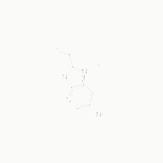 O=[N+]([O-])c1cnc2nc(C(F)F)n(O)c2c1